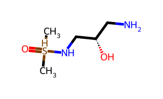 C[SH](C)(=O)NC[C@@H](O)CN